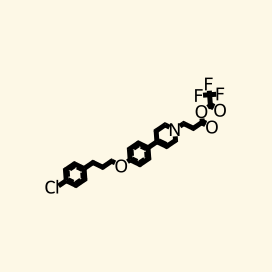 O=C(CCN1CC=C(c2ccc(OCCCc3ccc(Cl)cc3)cc2)CC1)OC(=O)C(F)(F)F